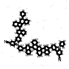 N#Cc1ccc2c(c1)c1cc(-c3ccc(-c4cc5c6ccccc6c(-c6ccccc6)cc5c5ccccc45)c4ccccc34)ccc1n2-c1cccc(-c2ccc(-c3cc4c5ccccc5c(-c5ccc(-c6ccc7c(c6)c6cc(C#N)ccc6n7-c6ccccc6)c6ccccc56)cc4c4ccccc34)c3ccccc23)c1